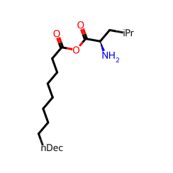 CCCCCCCCCCCCCCCCCC(=O)OC(=O)[C@H](N)CC(C)C